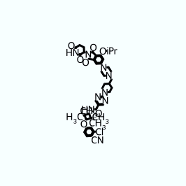 CC(C)Oc1cc(N2CCN(CC3CCN(c4ncc(C(=O)NC5C(C)(C)C(Oc6ccc(C#N)c(Cl)c6)C5(C)C)cn4)CC3)CC2)cc2c1C(=O)N(C1CCC(=O)NC1=O)C2=O